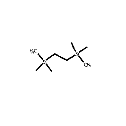 C[Si](C)(C#N)CC[Si](C)(C)C#N